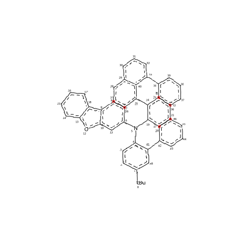 CC(C)(C)c1ccc(N(c2ccc3c(c2)oc2ccccc23)c2ccccc2-c2cccc3cccc(-c4ccccc4)c23)c(-c2ccccc2)c1